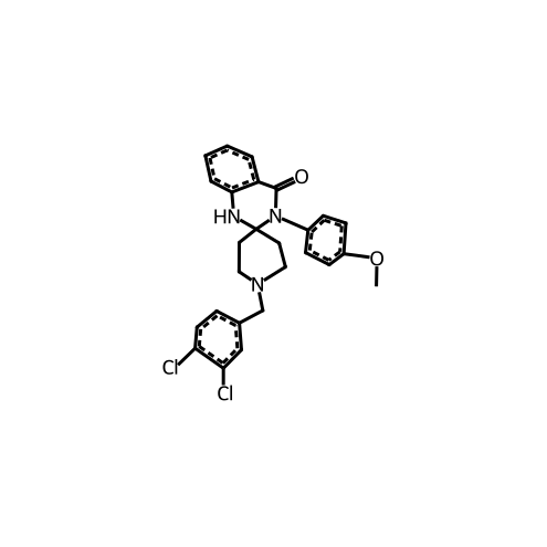 COc1ccc(N2C(=O)c3ccccc3NC23CCN(Cc2ccc(Cl)c(Cl)c2)CC3)cc1